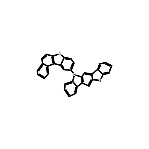 c1ccc2c(c1)ccc1oc3ccc(-n4c5ccccc5c5cc6sc7ccccc7c6cc54)cc3c12